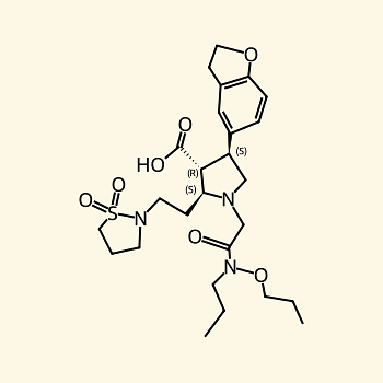 CCCON(CCC)C(=O)CN1C[C@H](c2ccc3c(c2)CCO3)[C@@H](C(=O)O)[C@@H]1CCN1CCCS1(=O)=O